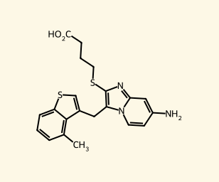 Cc1cccc2scc(Cc3c(SCCCC(=O)O)nc4cc(N)ccn34)c12